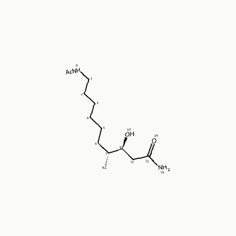 CC(=O)NCCCCCC[C@@H](C)[C@@H](O)CC(N)=O